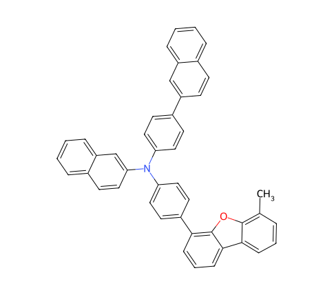 Cc1cccc2c1oc1c(-c3ccc(N(c4ccc(-c5ccc6ccccc6c5)cc4)c4ccc5ccccc5c4)cc3)cccc12